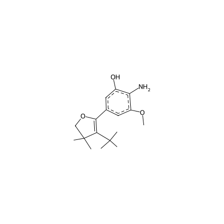 COc1cc(C2=C(C(C)(C)C)C(C)(C)CO2)cc(O)c1N